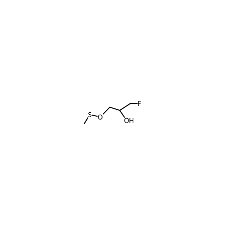 CSOCC(O)CF